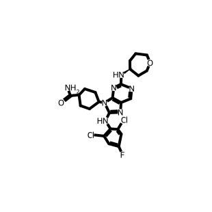 NC(=O)C1CCC(n2c(Nc3c(Cl)cc(F)cc3Cl)nc3cnc(N[C@H]4CCCOCC4)nc32)CC1